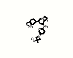 CC1(N=O)CN(c2ccc(Nc3cc(-c4ccc5cn[nH]c5c4)cn4ccnc34)nc2)C1